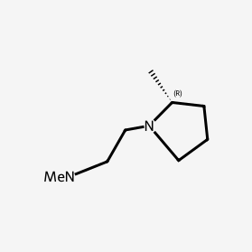 CNCCN1CCC[C@H]1C